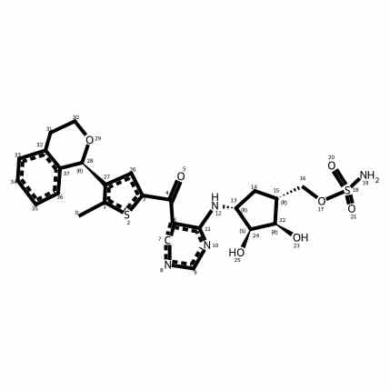 Cc1sc(C(=O)c2cncnc2N[C@@H]2C[C@H](COS(N)(=O)=O)[C@@H](O)[C@H]2O)cc1[C@@H]1OCCc2ccccc21